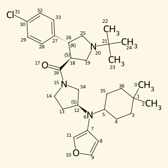 CC1(C)CCC(N(c2ccoc2)[C@H]2CCN(C(=O)[C@@H]3CN(C(C)(C)C)C[C@H]3c3ccc(Cl)cc3)C2)CC1